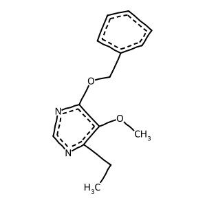 CCc1ncnc(OCc2ccccc2)c1OC